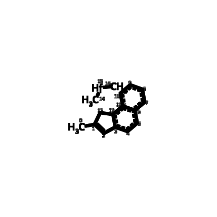 CC1=Cc2ccc3ccccc3c2C1.[CH3][Hf][CH3]